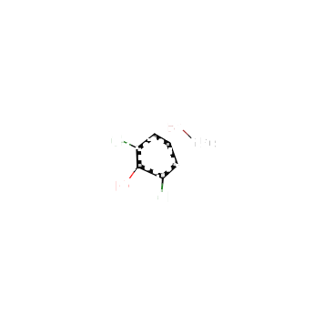 CC(C)(C)Br.Oc1c(Cl)cccc1Cl